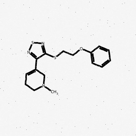 CN1CCC=C(c2nsnc2SCCOc2ccccc2)C1